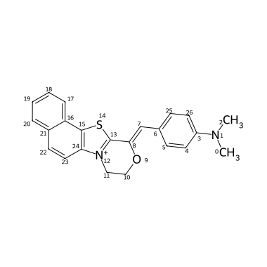 CN(C)c1ccc(C=C2OCC[n+]3c2sc2c4ccccc4ccc23)cc1